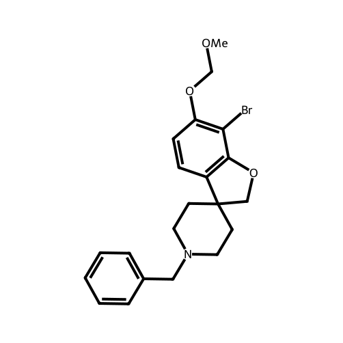 COCOc1ccc2c(c1Br)OCC21CCN(Cc2ccccc2)CC1